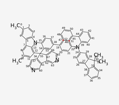 Cc1ccc2c(c1)c1cc(C)cc3c1n2-c1ccc(-c2ccc(N(c4ccc5c(c4)C(C)(C)c4ccccc4-5)c4ccccc4-c4ccccc4)cc2)cc1C31c2ccncc2-c2cnccc21